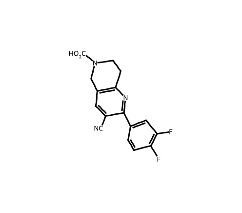 N#Cc1cc2c(nc1-c1ccc(F)c(F)c1)CCN(C(=O)O)C2